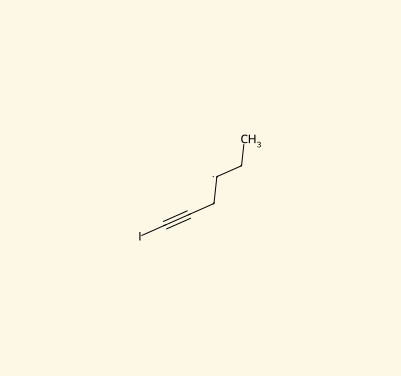 CC[CH]CC#CI